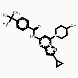 CC(C)(O)c1ccc(C(=O)Nc2cc(N3CCC(O)CC3)n3nc(C4CC4)cc3n2)cc1